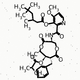 COc1ccnc(C(=O)N[C@H]2COC(=O)[C@H](Cc3ccccc3)[C@@H](OC(=O)C(C)C)[C@H](C)OC2=O)c1OC(=O)CC(C)CC(C)(C)C